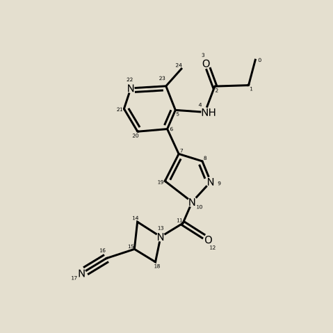 CCC(=O)Nc1c(-c2cnn(C(=O)N3CC(C#N)C3)c2)ccnc1C